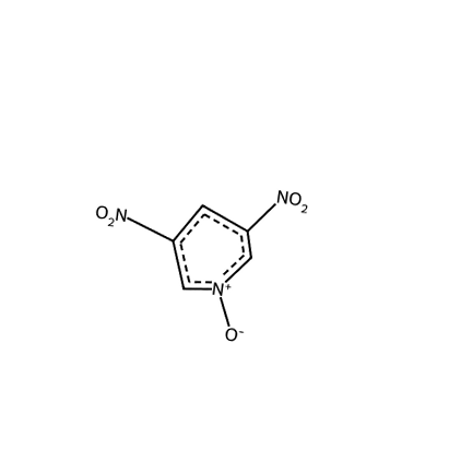 O=[N+]([O-])c1cc([N+](=O)[O-])c[n+]([O-])c1